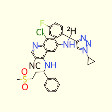 [2H]C(Nc1cc(Cl)c2ncc(C#N)c(NC(CCS(C)(=O)=O)c3ccccc3)c2c1)(c1ccc(F)cc1)c1cn(C2CC2)nn1